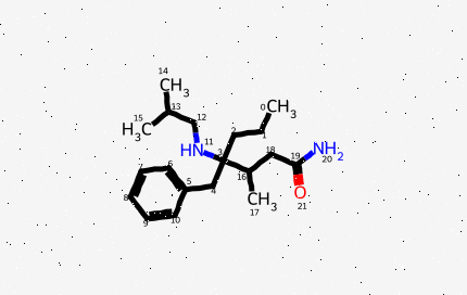 CCCC(Cc1ccccc1)(NCC(C)C)C(C)CC(N)=O